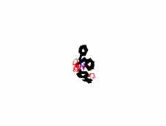 COc1cc(C(=O)N2c3ccccc3CC2(Cc2ccccc2)C(=O)O)ccc1C(C)(C)C